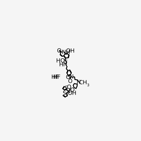 CN(CCCn1c(=O)oc2cc(CCNC[C@@H](O)c3ccc(O)c4[nH]c(=O)ccc34)ccc21)C1CCC(OC(=O)C(O)(c2cccs2)c2cccs2)CC1.F.F